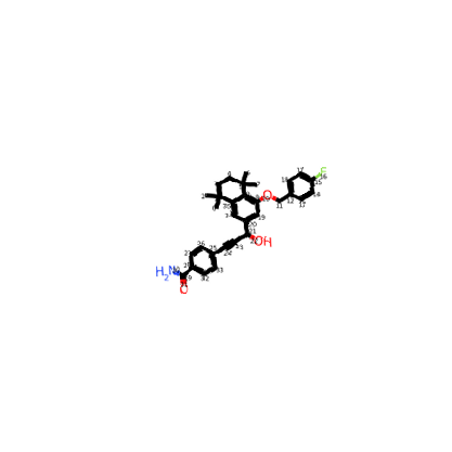 CC1(C)CCC(C)(C)c2c(OCc3ccc(F)cc3)cc(C(O)C#Cc3ccc(C(N)=O)cc3)cc21